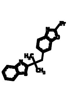 CC(C)c1nc2ccc(CC(C)(C)c3nc4ccccc4s3)cc2o1